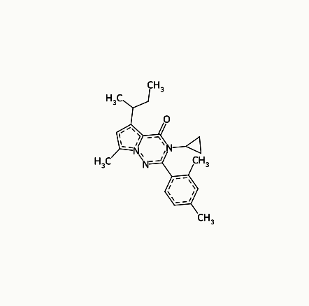 CCC(C)c1cc(C)n2nc(-c3ccc(C)cc3C)n(C3CC3)c(=O)c12